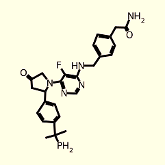 CC(C)(P)c1ccc(C2CC(=O)CN2c2ncnc(NCc3ccc(CC(N)=O)cc3)c2F)cc1